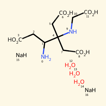 NC(CC(=O)O)C(CC(=O)O)(CC(=O)O)NCC(=O)O.O.O.O.[NaH].[NaH]